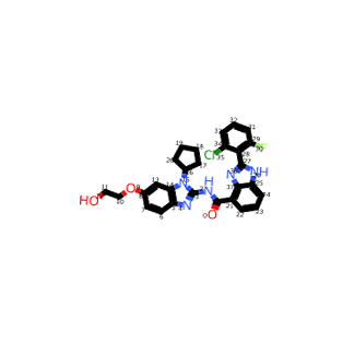 O=C(Nc1nc2ccc(OCCO)cc2n1C1CCCC1)c1cccc2[nH]c(-c3c(F)cccc3Cl)nc12